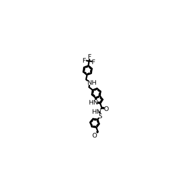 O=Cc1cccc(SNC(=O)c2cc3ccc(CNCc4ccc(C(F)(F)F)cc4)cc3[nH]2)c1